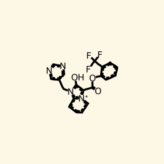 O=C(Oc1ccccc1C(F)(F)F)c1c(O)n(Cc2cncnc2)c2cccc[n+]12